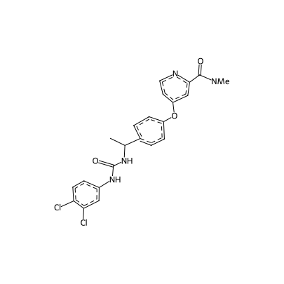 CNC(=O)c1cc(Oc2ccc(C(C)NC(=O)Nc3ccc(Cl)c(Cl)c3)cc2)ccn1